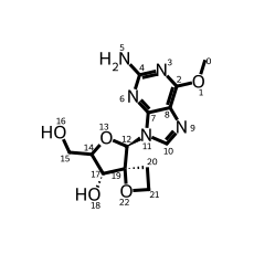 COc1nc(N)nc2c1ncn2[C@@H]1OC(CO)[C@@H](O)[C@@]12CCO2